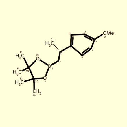 COc1ccc([C@@H](C)CB2OC(C)(C)C(C)(C)O2)cc1